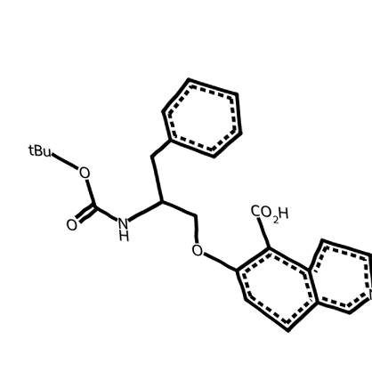 CC(C)(C)OC(=O)NC(COc1ccc2cnccc2c1C(=O)O)Cc1ccccc1